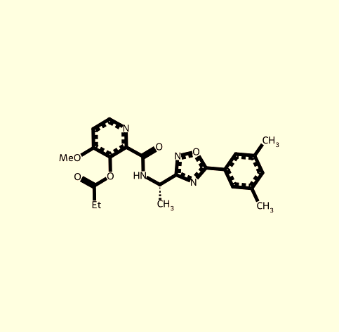 CCC(=O)Oc1c(OC)ccnc1C(=O)N[C@@H](C)c1noc(-c2cc(C)cc(C)c2)n1